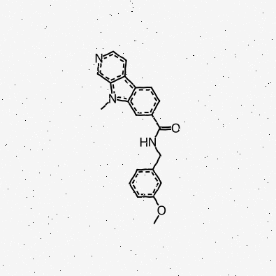 COc1cccc(CNC(=O)c2ccc3c4ccncc4n(C)c3c2)c1